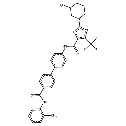 Cc1ccccc1NC(=O)c1ccc(-c2ccc(NC(=O)c3oc(N4CCCC(C)C4)nc3C(F)(F)F)cn2)cc1